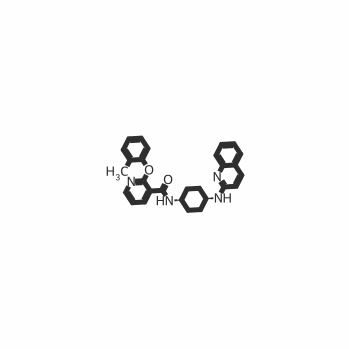 Cc1ccccc1Oc1ncccc1C(=O)N[C@H]1CC[C@@H](Nc2ccc3ccccc3n2)CC1